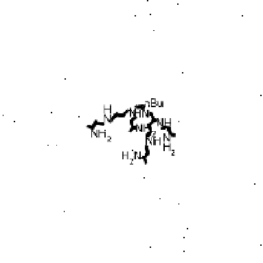 CCCCC(CN(CCCCNCCC(C)N)CCC(C)N)NCC(CCCNCCC(C)N)NCCC(C)N